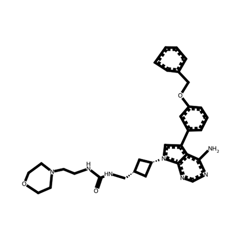 Nc1ncnc2c1c(-c1cccc(OCc3ccccc3)c1)cn2[C@H]1C[C@@H](CNC(=O)NCCN2CCOCC2)C1